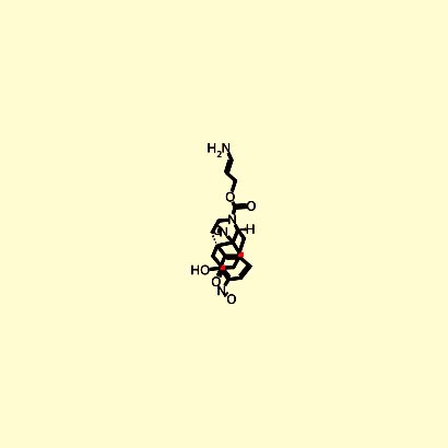 NC=CCOC(=O)N1CC[C@]23CC(=O)CCC2(N=O)[C@H]1Cc1ccc(N=O)c(O)c13